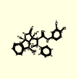 O=C(Nc1ccc(Cl)c(Cl)c1)[C@@H]1[C@H]2C(=O)O[C@@H]3c4ccccc4[C@H](O)[C@@]32O[C@H]1c1ccccc1